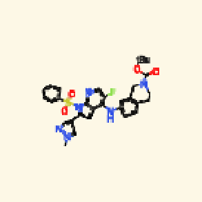 Cn1cc(-c2cc3c(Nc4ccc5c(c4)CN(C(=O)OC(C)(C)C)CC5)c(F)cnc3n2S(=O)(=O)c2ccccc2)cn1